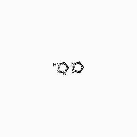 c1c[nH]nn1.c1cnsc1